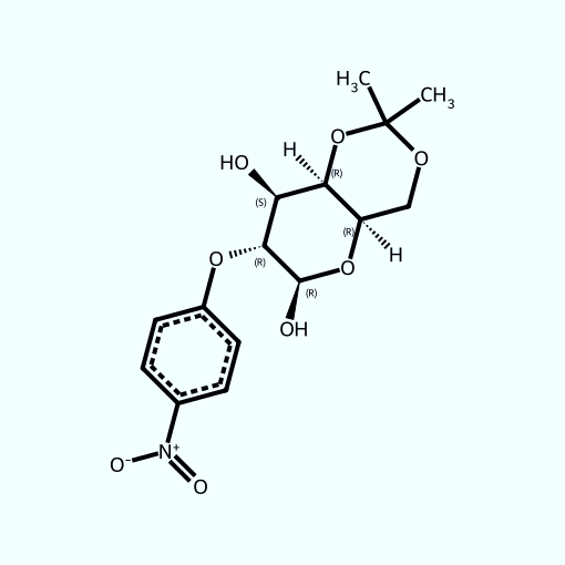 CC1(C)OC[C@H]2O[C@@H](O)[C@H](Oc3ccc([N+](=O)[O-])cc3)[C@@H](O)[C@H]2O1